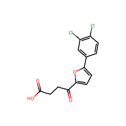 O=C(O)CCC(=O)c1ccc(-c2ccc(Cl)c(Cl)c2)o1